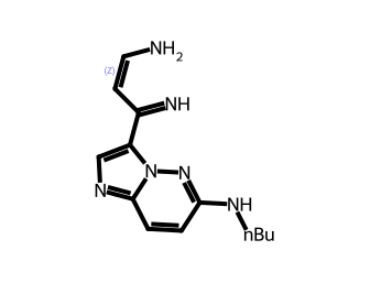 CCCCNc1ccc2ncc(C(=N)/C=C\N)n2n1